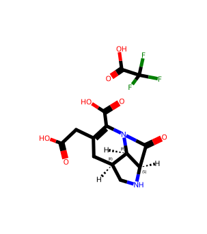 O=C(O)C(F)(F)F.O=C(O)CC1=C(C(=O)O)N2C(=O)[C@H]3NC[C@@H](C1)[C@H]32